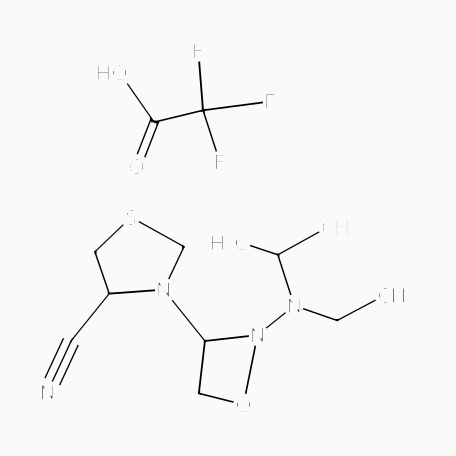 CCN(C(C)C)N1OCC1N1CSCC1C#N.O=C(O)C(F)(F)F